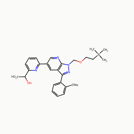 COc1ccccc1-c1nn(COCC[Si](C)(C)C)c2ncc(-c3cccc(C(O)C(=O)O)n3)cc12